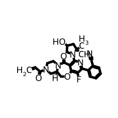 C=CC(=O)N1CCN2C(=O)c3c(N4CC(O)CC4(C)C)nc(-c4ccccc4C#N)c(F)c3OC[C@H]2C1